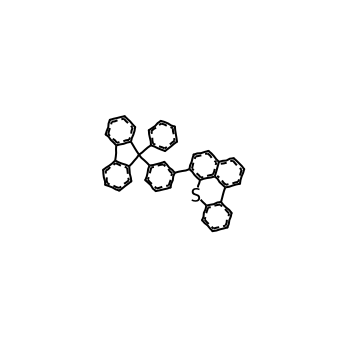 c1ccc(C2(c3cccc(-c4ccc5cccc6c5c4Sc4ccccc4-6)c3)c3ccccc3-c3ccccc32)cc1